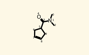 CN(C)C(=O)C1CC=CC1